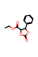 CCOC(=O)C1OC(=O)OC1c1ccccc1